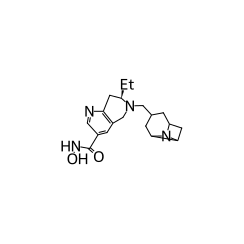 CC[C@@H]1Cc2ncc(C(=O)NO)cc2CN1CC1CC2CC3C(C1)N23